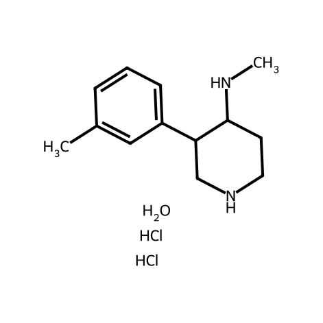 CNC1CCNCC1c1cccc(C)c1.Cl.Cl.O